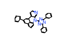 c1ccc(-c2cc3c4c(cccc4c2)N(c2nc(-c4ccccc4)nc(-c4ccccc4)n2)c2cnccc2-3)cc1